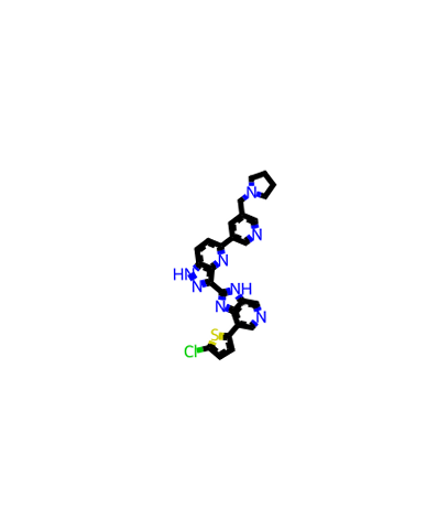 Clc1ccc(-c2cncc3[nH]c(-c4n[nH]c5ccc(-c6cncc(CN7CCCC7)c6)nc45)nc23)s1